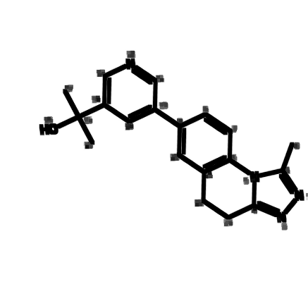 Cc1nnc2n1-c1ccc(-c3cncc(C(C)(C)O)c3)cc1CC2